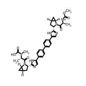 COC(=O)N[C@@H](C)C(=O)N1[C@H](c2ncc(-c3ccc(-c4ccc(-c5cnc([C@@H]6C[C@@H]7C[C@@H]7N6C(=O)[C@H](C)N(C)C(=O)O)[nH]5)cc4)cc3)[nH]2)C[C@@H]2C[C@@H]21